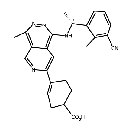 Cc1c(C#N)cccc1[C@@H](C)Nc1nnc(C)c2cnc(C3=CCC(C(=O)O)CC3)cc12